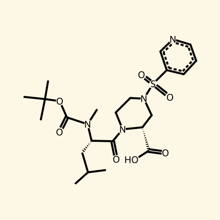 CC(C)C[C@@H](C(=O)N1CCN(S(=O)(=O)c2cccnc2)C[C@@H]1C(=O)O)N(C)C(=O)OC(C)(C)C